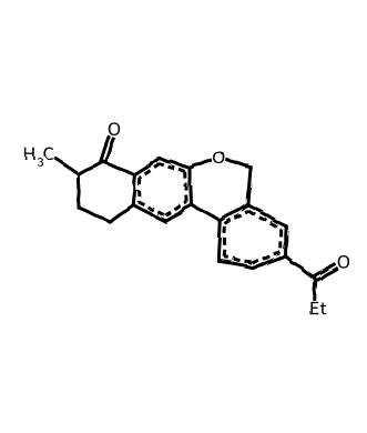 CCC(=O)c1ccc2c(c1)COc1cc3c(cc1-2)CCC(C)C3=O